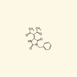 CC(=O)C(C(C)=O)=C1NC(=O)N(Cc2ccccc2)C1=O